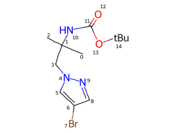 CC(C)(Cn1cc(Br)cn1)NC(=O)OC(C)(C)C